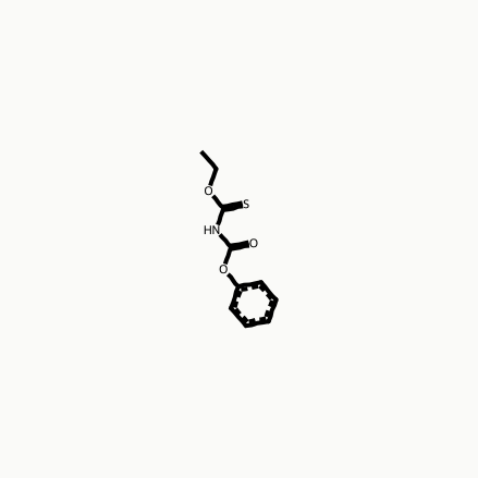 CCOC(=S)NC(=O)Oc1ccccc1